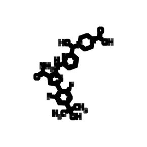 CC(C)(O)c1cc(F)c(-c2cc(C(N)=O)c(Nc3cccc(C(O)N4CCN(C(=O)O)CC4)n3)s2)c(F)c1